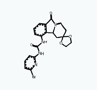 O=C(Nc1cccc(Br)n1)Nc1cccc2c1C1CC3(CCN1C2=O)OCCO3